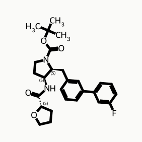 CC(C)(C)OC(=O)N1CC[C@H](NC(=O)[C@@H]2CCCO2)[C@@H]1Cc1cccc(-c2cccc(F)c2)c1